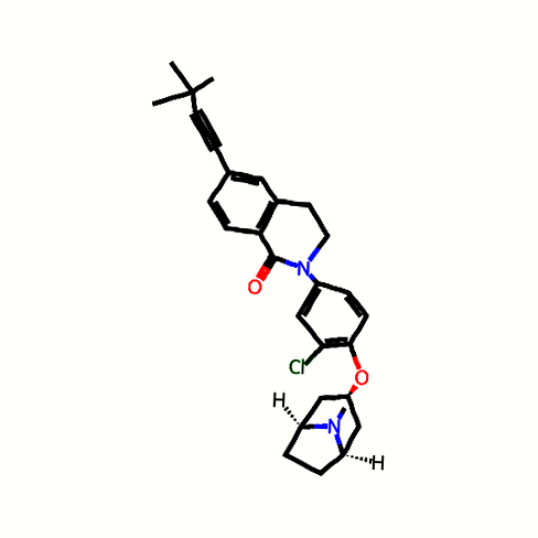 CN1[C@@H]2CC[C@H]1C[C@@H](Oc1ccc(N3CCc4cc(C#CC(C)(C)C)ccc4C3=O)cc1Cl)C2